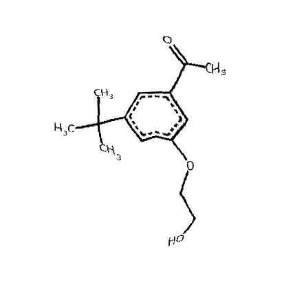 CC(=O)c1cc(OCCO)cc(C(C)(C)C)c1